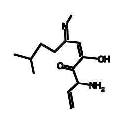 C=CC(N)C(=O)/C(O)=C\C(CCC(C)C)=N/C